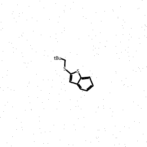 CC(C)(C)CSc1cc2ccccc2s1